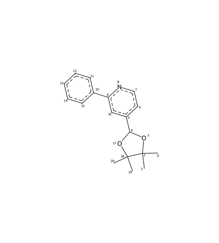 CC1(C)OC(c2ccnc(-c3ccccc3)c2)OC1(C)C